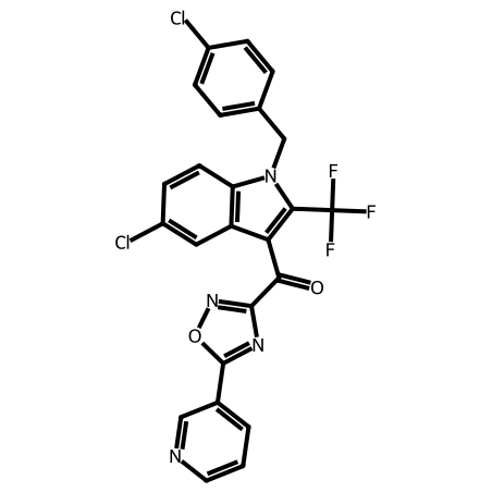 O=C(c1noc(-c2cccnc2)n1)c1c(C(F)(F)F)n(Cc2ccc(Cl)cc2)c2ccc(Cl)cc12